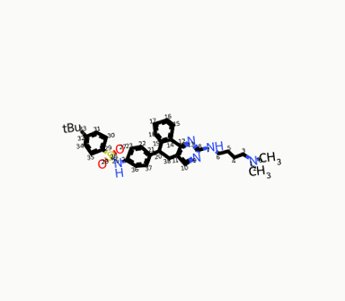 CN(C)CCCCNc1ncc2c(n1)-c1ccccc1C(c1ccc(NS(=O)(=O)c3ccc(C(C)(C)C)cc3)cc1)C2